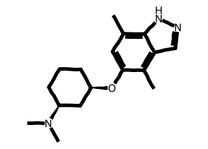 Cc1c(O[C@@H]2CCC[C@H](N(C)C)C2)cc(C)c2[nH]ncc12